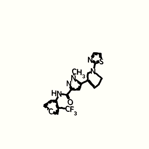 Cn1nc(C(=O)Nc2ccccc2C(F)(F)F)cc1C1=CCCN(c2nccs2)C1